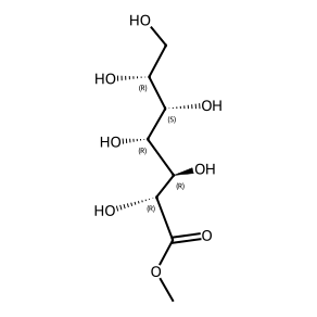 COC(=O)[C@H](O)[C@H](O)[C@H](O)[C@@H](O)[C@H](O)CO